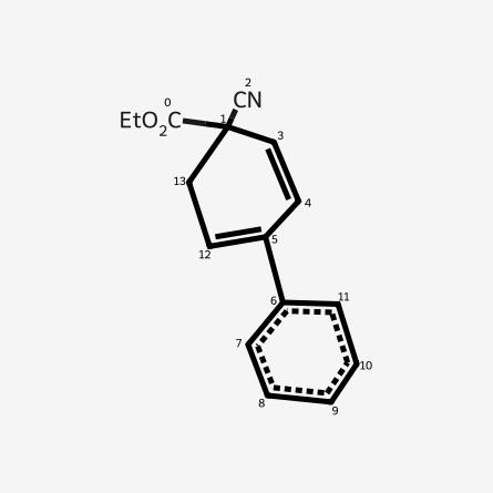 CCOC(=O)C1(C#N)C=CC(c2ccccc2)=CC1